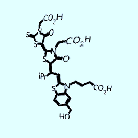 CC(C)C(/C=C1\Sc2ccc(CO)cc2N1CCCC(=O)O)=c1\s/c(=C2\SC(=S)N(CC(=O)O)C2=O)n(CC(=O)O)c1=O